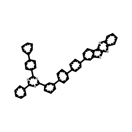 c1ccc(-c2ccc(-c3nc(-c4ccccc4)nc(-c4cccc(-c5ccc(-c6ccc(-c7ccc8c(c7)sc7nc9ccccc9nc78)cc6)cc5)c4)n3)cc2)cc1